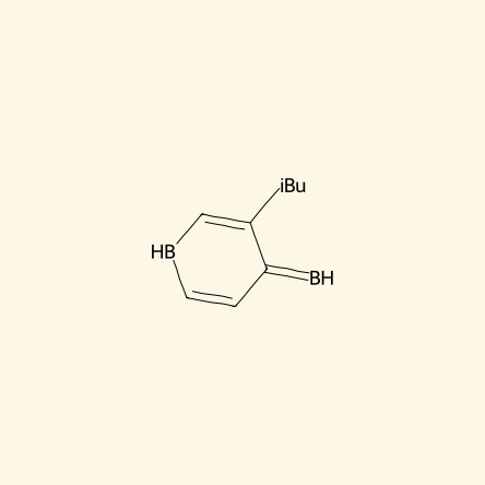 B=C1C=CBC=C1C(C)CC